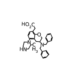 CC1CNCCN1c1ccc(CC(=O)O)c2c1C[C@H](N(Cc1ccccc1)Cc1ccccc1)CO2